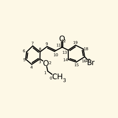 CCOc1ccccc1/C=C/C(=O)c1ccc(Br)cc1